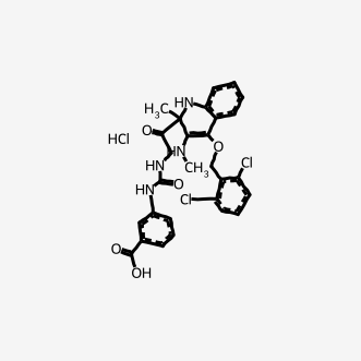 CNC1=C(OCc2c(Cl)cccc2Cl)c2ccccc2NC1(C)C(=O)CNC(=O)Nc1cccc(C(=O)O)c1.Cl